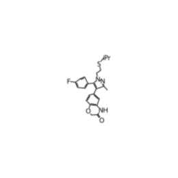 Cc1nn(CCSC(C)C)c(-c2ccc(F)cc2)c1-c1ccc2c(c1)NC(=O)CO2